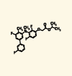 Cc1c(F)cc(-c2cccc(F)c2)cc1N(C)c1c(F)ccc(OCC(=O)OC(C)C)c1F